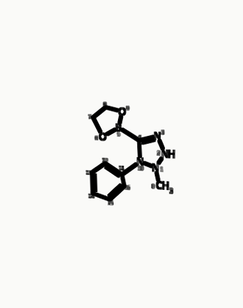 CN1NN=C(B2OCCO2)N1c1ccccc1